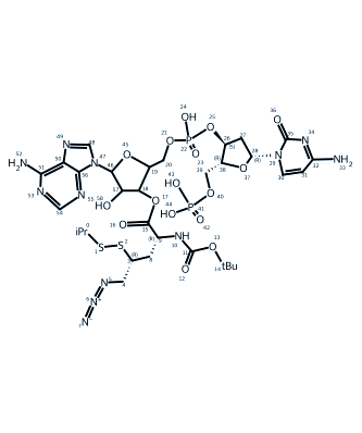 CC(C)SS[C@@H](CN=[N+]=[N-])C[C@@H](NC(=O)OC(C)(C)C)C(=O)OC1C(COP(=O)(O)O[C@H]2C[C@H](n3ccc(N)nc3=O)O[C@@H]2COP(=O)(O)O)OC(n2cnc3c(N)ncnc32)C1O